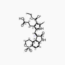 CCOC(=O)c1c(C)[nH]c(/C=C2\C(=O)Nc3ccc4c(c32)CCOS4(=O)=O)c1CCC(=O)O